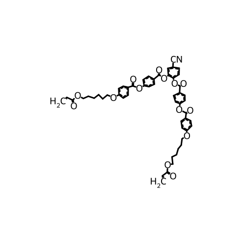 C=CC(=O)OCCCCCCOc1ccc(C(=O)Oc2ccc(C(=O)Oc3ccc(C#N)cc3OC(=O)c3ccc(OC(=O)c4ccc(OCCCCCCOC(=O)C=C)cc4)cc3)cc2)cc1